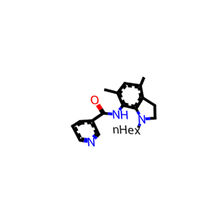 CCCCCCN1CCc2c(C)cc(C)c(NC(=O)c3cccnc3)c21